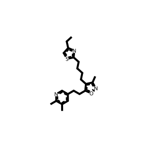 CCc1csc(CCCCc2c(C)noc2CCc2cnc(C)c(C)c2)n1